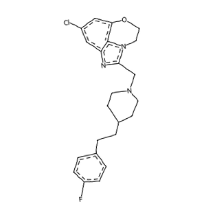 Fc1ccc(CCC2CCN(Cc3nc4cc(Cl)cc5c4n3CCO5)CC2)cc1